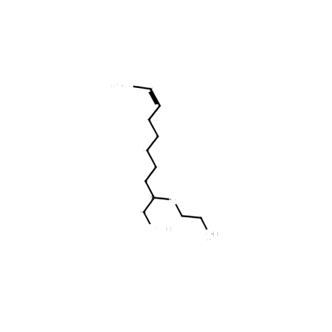 CCCCCCCC/C=C\CCCCCC(CC(=O)O)OCCO